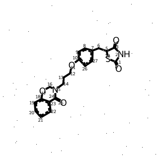 O=C1NC(=O)C(Cc2ccc(OCCCN3COc4ccccc4C3=O)cc2)S1